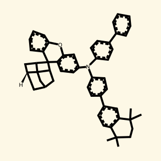 CC1(C)CCC(C)(C)c2cc(-c3ccc(N(c4ccc(-c5ccccc5)cc4)c4ccc5c(c4)Oc4ccccc4C54C5CC6C[C@@H]7CC4C57C6)cc3)ccc21